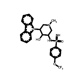 CN1CC(NS(=N)(=O)c2ccc(OC(F)(F)F)cc2)C(O)C(n2c3ccccc3c3ccccc32)C1